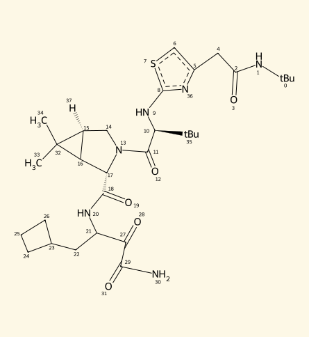 CC(C)(C)NC(=O)Cc1csc(N[C@H](C(=O)N2C[C@H]3C([C@H]2C(=O)NC(CC2CCC2)C(=O)C(N)=O)C3(C)C)C(C)(C)C)n1